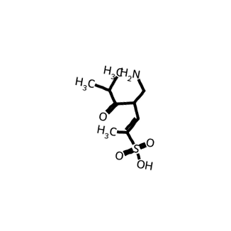 CC(=CC(CN)C(=O)C(C)C)S(=O)(=O)O